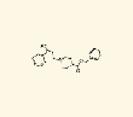 CC(=O)N(CCN1CCN(C(=O)OCc2ccccc2)CC1)c1ccccn1